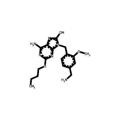 CCCCOc1nc(N)c2nc(O)n(Cc3ccc(CN)cc3OC)c2n1